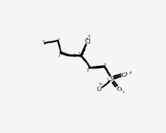 CCCC(Cl)CCS(=O)(=O)Cl